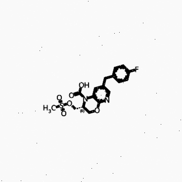 CS(=O)(=O)OC[C@H]1COc2ncc(Cc3ccc(F)cc3)cc2N1C(=O)O